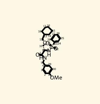 COc1ccc(CNC(=O)[C@H](COCC2CCCCC2)NS(=O)(=O)c2ccccc2)cc1